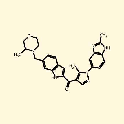 Cc1nc2cc(-n3ncc(C(=O)c4cc5ccc(CN6CCOCC6C)cc5[nH]4)c3N)ccc2[nH]1